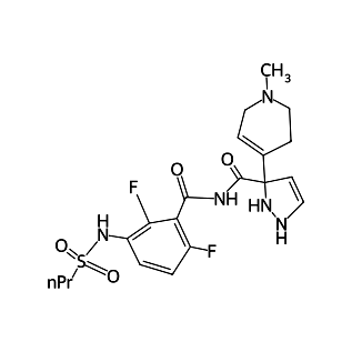 CCCS(=O)(=O)Nc1ccc(F)c(C(=O)NC(=O)C2(C3=CCN(C)CC3)C=CNN2)c1F